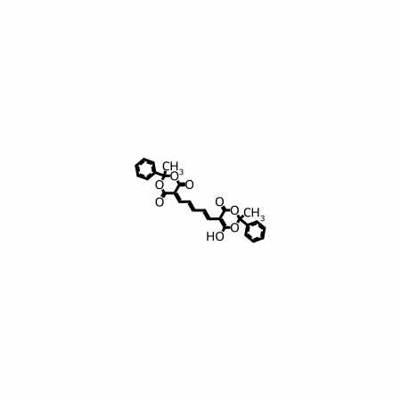 CC1(c2ccccc2)OC(=O)C(=C/C=C/C=C/C2=C(O)OC(C)(c3ccccc3)OC2=O)C(=O)O1